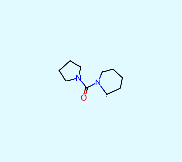 O=C(N1[CH]CCCC1)N1CCCC1